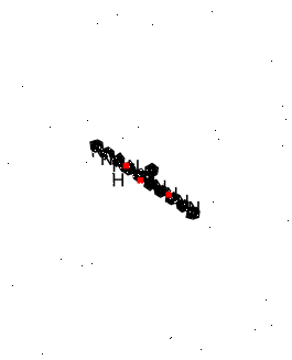 C1=C(c2ccc(-c3ccc4c5ccc(-c6ccc(-c7ccc(-c8ccc(-c9ccccn9)cn8)cn7)cn6)cc5c5ccccc5c4c3)nc2)NCC(c2ccc(-c3ccccn3)cn2)=C1